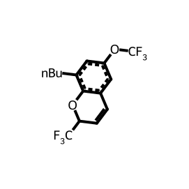 CCCCc1cc(OC(F)(F)F)cc2c1OC(C(F)(F)F)C=C2